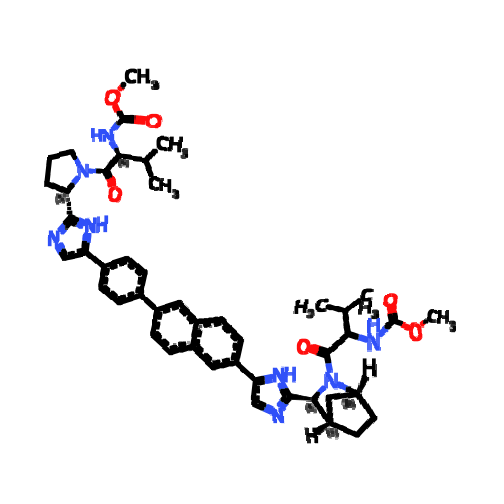 COC(=O)NC(C(=O)N1[C@@H]2CC[C@@H](C2)[C@H]1c1ncc(-c2ccc3cc(-c4ccc(-c5cnc([C@@H]6CCCN6C(=O)[C@@H](NC(=O)OC)C(C)C)[nH]5)cc4)ccc3c2)[nH]1)C(C)C